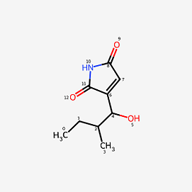 CCC(C)C(O)C1=CC(=O)NC1=O